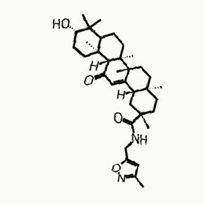 Cc1cc(CNC(=O)[C@@]2(C)CC[C@]3(C)CC[C@]4(C)C(=CC(=O)[C@@H]5[C@@]6(C)CC[C@H](O)C(C)(C)C6CC[C@]54C)[C@H]3C2)on1